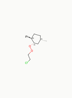 CC(C)[C@H]1CC[C@H](C)C[C@@H]1OOCCCl